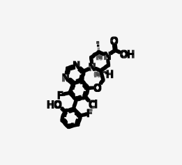 C[C@H]1CN2c3ncnc4c(F)c(-c5c(O)cccc5F)c(Cl)c(c34)OC[C@@H]2CN1C(=O)O